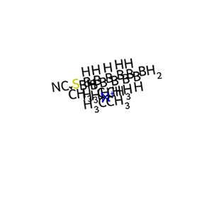 BBBBBBBBBBBBSC(C)C#N.C[N+](C)(C)C